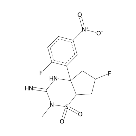 CN1C(=N)NC2(c3cc([N+](=O)[O-])ccc3F)CC(F)CC2S1(=O)=O